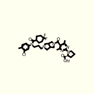 Cc1ccc(N(CCCN2CC3CN(C(=O)c4c(C)nc(N5CCC[C@H]5C(=O)O)nc4C)CC3C2)C(=O)C2CCC(F)(F)CC2)cc1Cl